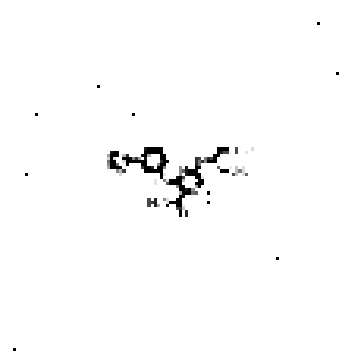 NC[C@@H](CC=O)Nc1cnc(C(N)=O)c(Nc2cccc(-c3ncco3)c2)n1